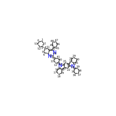 c1ccc(-c2ccc3nc(-c4ccc(-n5c6ccccc6c6cc7c(cc65)c5ccccc5n7-c5ccccc5)cc4)nc(-c4ccccc4)c3c2)cc1